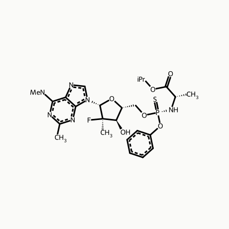 CNc1nc(C)nc2c1ncn2[C@@H]1O[C@H](CO[P@](=S)(N[C@@H](C)C(=O)OC(C)C)Oc2ccccc2)[C@@H](O)[C@@]1(C)F